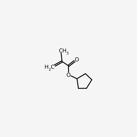 C=C(C)C(=O)OC1CCCC1